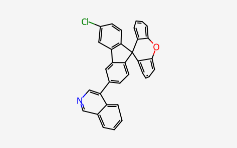 Clc1ccc2c(c1)-c1cc(-c3cncc4ccccc34)ccc1C21c2ccccc2Oc2ccccc21